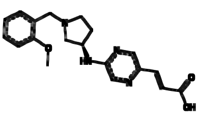 COc1ccccc1CN1CC[C@@H](Nc2cnc(C=CC(=O)O)cn2)C1